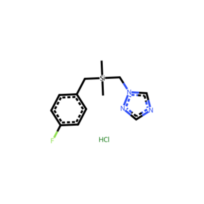 C[Si](C)(Cc1ccc(F)cc1)Cn1cncn1.Cl